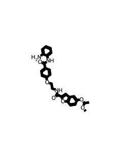 COC(C)Oc1ccc2oc(C(=O)NCCOc3ccc(C(=O)Nc4ccccc4N)cc3)cc2c1